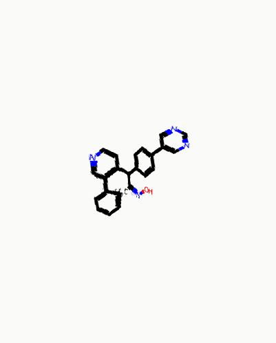 C/C(=N/O)C(c1ccc(-c2cncnc2)cc1)c1ccncc1-c1ccccc1